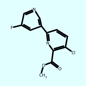 COC(=O)c1nc(-c2cncc(F)c2)ccc1Cl